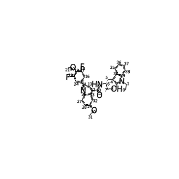 CCn1cc(C[C@H](CO)NC(=O)c2cc(-c3cc(F)c(OC)c(F)c3)nc3ccc(OC)cc23)c2ccccc21